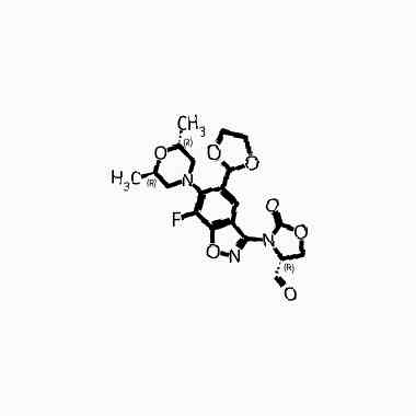 C[C@@H]1CN(c2c(C3OCCO3)cc3c(N4C(=O)OC[C@@H]4C=O)noc3c2F)C[C@@H](C)O1